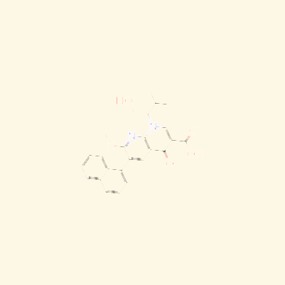 COc1nc2c(cc1-c1cccc3ccccc13)c(=O)c(C(=O)O)cn2[C@H](CO)C(C)C